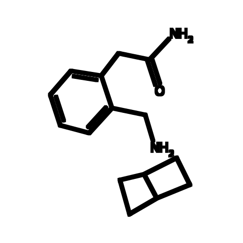 C1CC2CCC12.NCc1ccccc1CC(N)=O